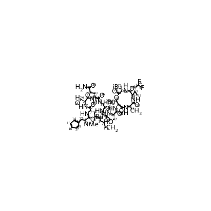 C=CCCCCC[C@H](NC(=O)[C@@H](Cc1ccccc1)NC)C(=O)N[C@@H](CO)C(=O)N[C@H](CCC(N)=O)C(=O)N[C@@H](C(=O)N[C@H](C(=O)N[C@@H](CO)C(=O)N[C@H]1C(=O)N[C@@H](C)C(=O)N[C@@]2(C[C@H]2CC(F)F)C(=O)N[C@@H]([C@@H](C)CC)C(=O)O[C@H]1C)[C@@H](C)CC)[C@@H](C)CC